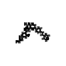 Nc1ncc(-c2ccc(CCC3CCOCC3)cc2)nc1-c1cc(-c2ccc(CNCF)cc2F)no1